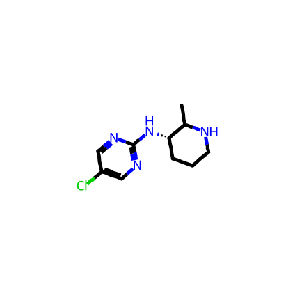 CC1NCCC[C@@H]1Nc1ncc(Cl)cn1